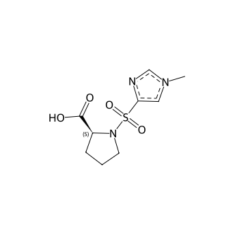 Cn1cnc(S(=O)(=O)N2CCC[C@H]2C(=O)O)c1